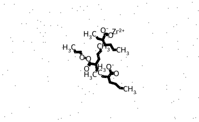 CCCCC(CC)C(=O)OOCCC.CCCCC(CC)C(=O)[O-].CCCCC(CC)C(=O)[O-].[Zr+2]